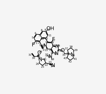 C#Cc1c(F)ccc2cc(O)cc(-c3ncc4c(N(C)C[C@@H]5C(C#N)CCN5C(=O)C=C)nc(OCC56CCCN5CCC6)nc4c3F)c12